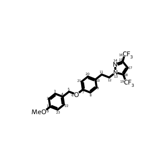 COc1ccc(COc2ccc(CCn3nc(C(F)(F)F)cc3C(F)(F)F)cc2)cc1